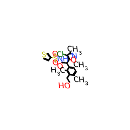 Cc1cc(C)c(C(C(=O)NS(=O)(=O)c2ccsc2)c2onc(C)c2Cl)c(C)c1CCO